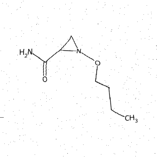 CCCCON1CC1C(N)=O